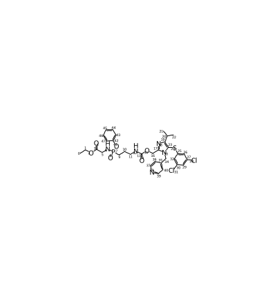 CCOC(=O)CNP(=O)(CCCNC(=O)OCc1nc(C(C)C)c(Sc2cc(Cl)cc(Cl)c2)n1Cc1ccncc1)Oc1ccccc1